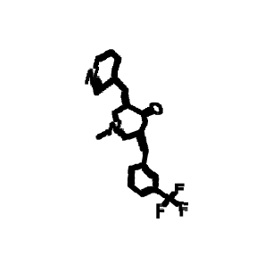 CN1C/C(=C\c2cccnc2)C(=O)/C(=C/c2cccc(C(F)(F)F)c2)C1